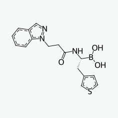 O=C(CCn1ncc2ccccc21)N[C@@H](Cc1ccsc1)B(O)O